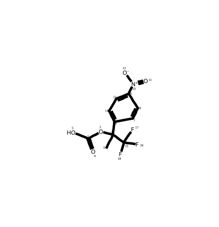 CC(OC(=O)O)(c1ccc([N+](=O)[O-])cc1)C(F)(F)F